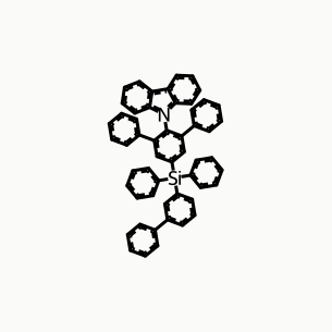 c1ccc(-c2cccc([Si](c3ccccc3)(c3ccccc3)c3cc(-c4ccccc4)c(-n4c5ccccc5c5ccccc54)c(-c4ccccc4)c3)c2)cc1